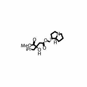 COC(=O)[C@](O)(CC(=O)OC[C@@H]1CCN2CCC[C@@H]12)CC(C)C